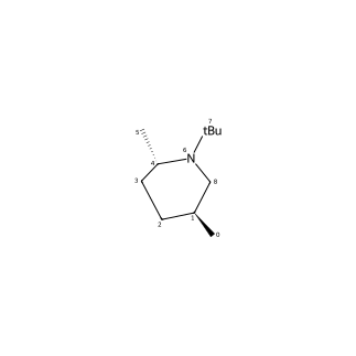 C[C@H]1CC[C@H](C)N(C(C)(C)C)C1